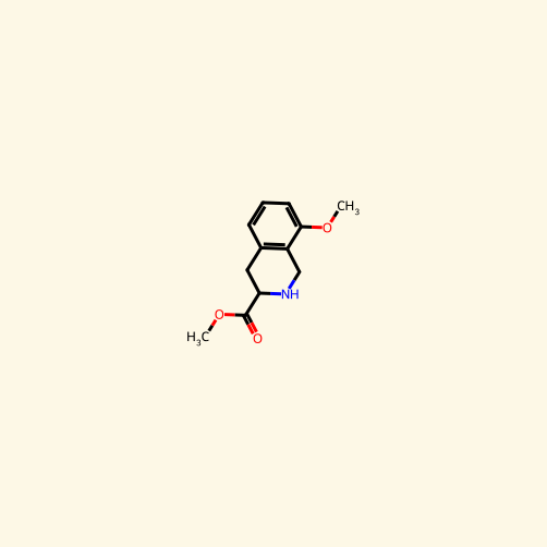 COC(=O)C1Cc2cccc(OC)c2CN1